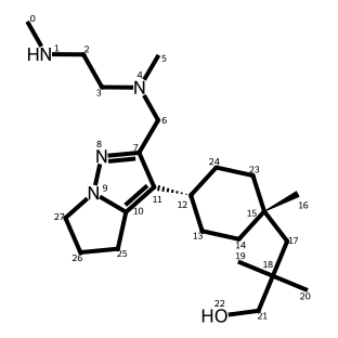 CNCCN(C)Cc1nn2c(c1[C@H]1CC[C@@](C)(CC(C)(C)CO)CC1)CCC2